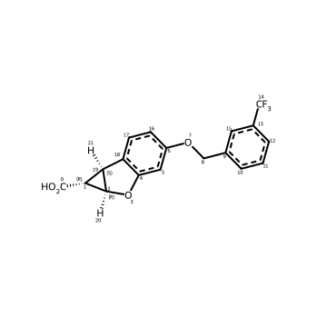 O=C(O)[C@H]1[C@@H]2Oc3cc(OCc4cccc(C(F)(F)F)c4)ccc3[C@@H]21